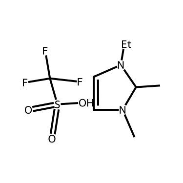 CCN1C=CN(C)C1C.O=S(=O)(O)C(F)(F)F